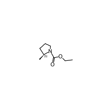 CCOC(=O)N1CCC[C@@H]1C